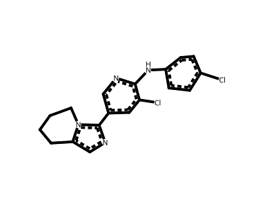 Clc1ccc(Nc2ncc(-c3ncc4n3CCCC4)cc2Cl)cc1